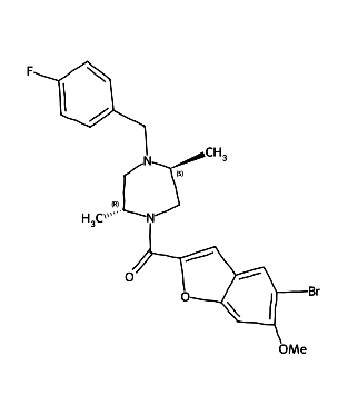 COc1cc2oc(C(=O)N3C[C@H](C)N(Cc4ccc(F)cc4)C[C@H]3C)cc2cc1Br